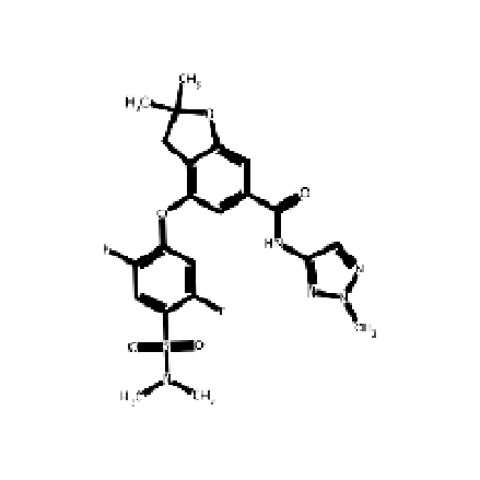 CN(C)S(=O)(=O)c1cc(F)c(Oc2cc(C(=O)Nc3cnn(C)n3)cc3c2CC(C)(C)O3)cc1F